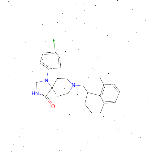 Cc1cccc2c1C(CN1CCC3(CC1)C(=O)NCN3c1ccc(F)cc1)CCC2